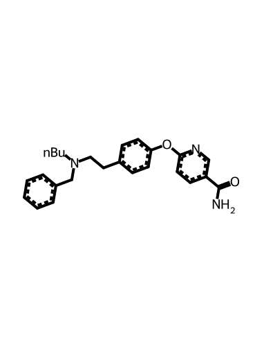 CCCCN(CCc1ccc(Oc2ccc(C(N)=O)cn2)cc1)Cc1ccccc1